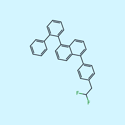 FC(F)Cc1ccc(-c2cccc3c(-c4ccccc4-c4ccccc4)cccc23)cc1